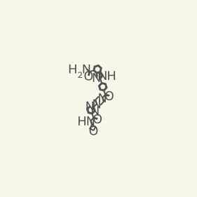 NC(=O)c1cccc2[nH]c(-c3ccc(C(=O)N4CCN(c5nccc(C(=O)NC6COC6)n5)CC4)cc3)nc12